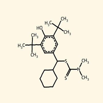 CN(C)C(=S)SC(c1cc(C(C)(C)C)c(O)c(C(C)(C)C)c1)C1CCCCC1